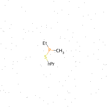 CCCSP(C)CC